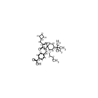 CCCC[C@H](c1ccc(C(=O)O)cc1)N1C(=O)C(CC2CCC2)=NC12CCC(C(C)(C)C)CC2